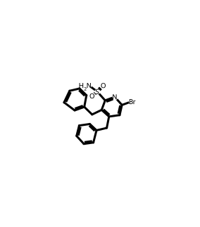 NS(=O)(=O)c1nc(Br)cc(Cc2ccccc2)c1Cc1ccccc1